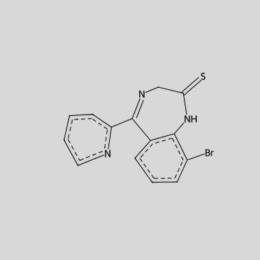 S=C1CN=C(c2ccccn2)c2cccc(Br)c2N1